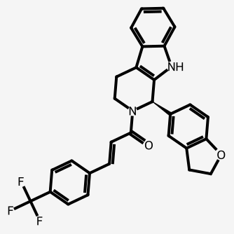 O=C(/C=C/c1ccc(C(F)(F)F)cc1)N1CCc2c([nH]c3ccccc23)[C@H]1c1ccc2c(c1)CCO2